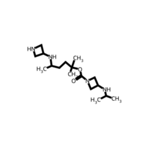 CC(C)NC1CN(C(=O)OC(C)(C)CCC(C)NC2CNC2)C1